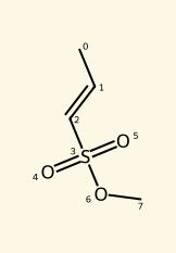 C/C=C/S(=O)(=O)OC